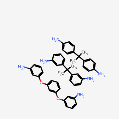 Nc1ccc(C(c2ccc(N)cc2)(C(F)(F)F)C(F)(F)F)cc1.Nc1cccc(C(c2cccc(N)c2)(C(F)(F)F)C(F)(F)F)c1.Nc1cccc(Oc2cccc(Oc3cccc(N)c3)c2)c1